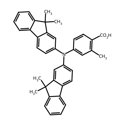 Cc1cc(N(c2ccc3c(c2)C(C)(C)c2ccccc2-3)c2ccc3c(c2)C(C)(C)c2ccccc2-3)ccc1C(=O)O